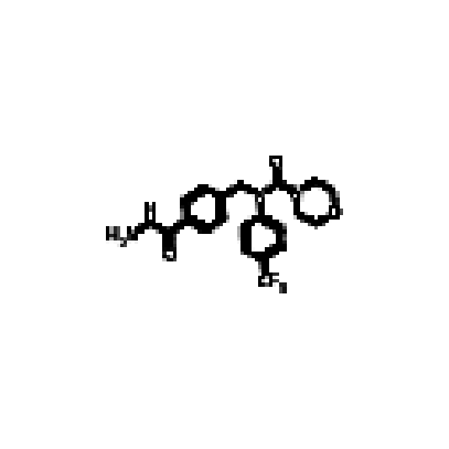 NNC(=O)c1ccc(CN(C(=O)N2CCOCC2)c2ccc(C(F)(F)F)cc2)cc1